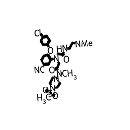 CNCCNC(=O)CN(CC(=O)N(C)N1CCN(S(C)(=O)=O)CC1)c1cc(C#N)ccc1Oc1ccc(Cl)cc1